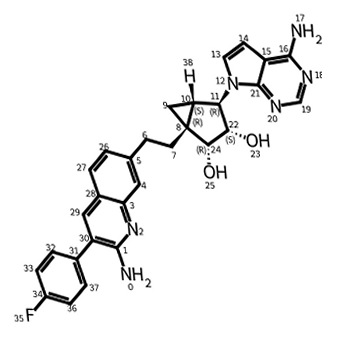 Nc1nc2cc(CC[C@@]34C[C@@H]3[C@@H](n3ccc5c(N)ncnc53)[C@H](O)[C@@H]4O)ccc2cc1-c1ccc(F)cc1